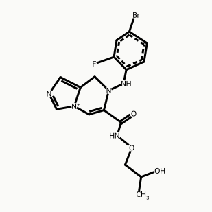 CC(O)CONC(=O)C1=C[N+]2C=NC=C2CN1Nc1ccc(Br)cc1F